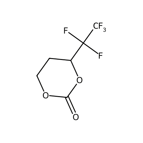 O=C1OCCC(C(F)(F)C(F)(F)F)O1